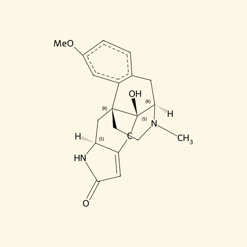 COc1ccc2c(c1)[C@]13CCN(C)[C@H](C2)[C@]1(O)CC1=CC(=O)N[C@H]1C3